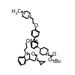 COCCCN1CC(CN(C(=O)[C@H]2CN(C(=O)OC(C)(C)C)CC[C@@H]2c2cccc(-c3ccc(OCCN4CCN(C)CC4)cc3)c2)C2CC2)c2ccccc21